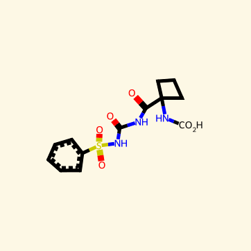 O=C(O)NC1(C(=O)NC(=O)NS(=O)(=O)c2ccccc2)CCC1